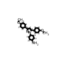 COc1ccc(-c2cc(-c3ccc(OC)cc3)n(-c3ccc(N)cc3)n2)cc1